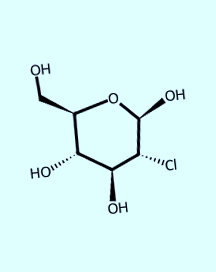 OC[C@H]1O[C@@H](O)[C@H](Cl)[C@@H](O)[C@@H]1O